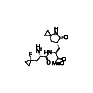 COC(=O)[C@H](C[C@@H]1CC2(CC2)NC1=O)NC(=O)[C@@H](N)CC1(F)CC1